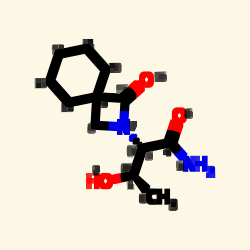 C[C@@H](O)[C@@H](C(N)=O)N1CC2(CCCCC2)C1=O